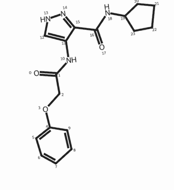 O=C(COc1ccccc1)Nc1c[nH]nc1C(=O)NC1CCCC1